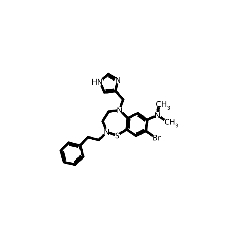 CN(C)c1cc2c(cc1Br)SN(CCc1ccccc1)CCN2Cc1c[nH]cn1